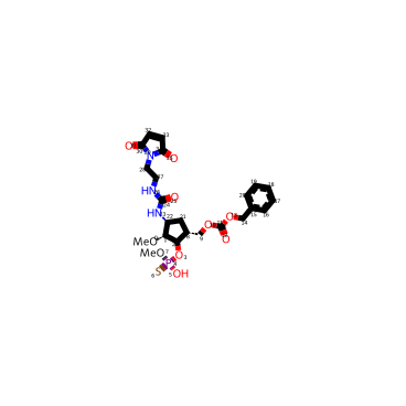 CO[C@H]1C(OP(O)(=S)OC)[C@@H](COC(=O)OCc2ccccc2)C[C@H]1NC(=O)NCCN1C(=O)C=CC1=O